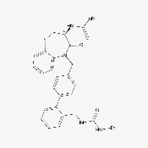 CCCC(=O)N[C@@H]1CSc2ccccc2N(Cc2ccc(-c3ccccc3CNC(=O)NCC)cc2)C1=O